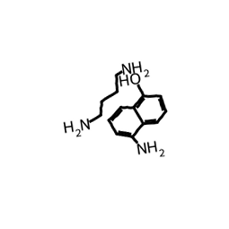 NCCCCN.Nc1cccc2c(O)cccc12